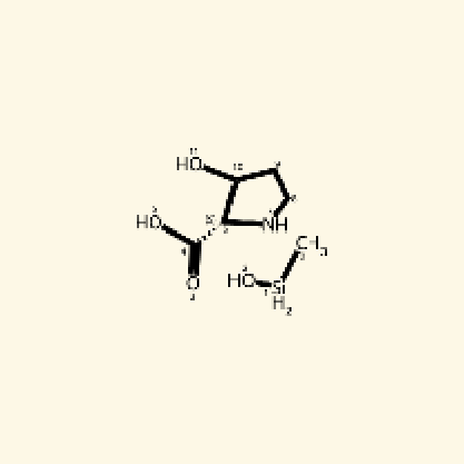 C[SiH2]O.O=C(O)[C@H]1NCCC1O